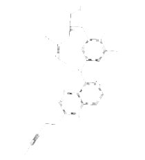 CC#CCOc1cnc2c(Nc3cc(F)c(F)c(C[C@@](C)(S/C(N)=N\C)C(F)F)c3)nccc2n1